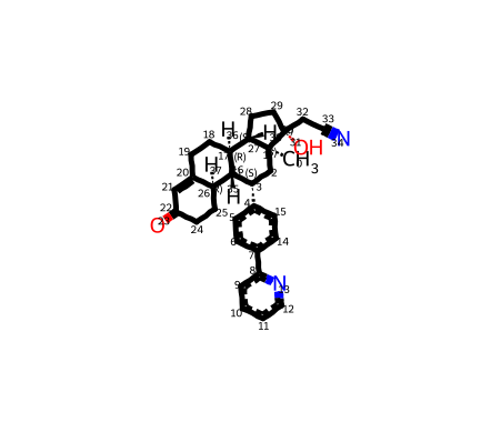 C[C@]12C[C@H](c3ccc(-c4ccccn4)cc3)[C@H]3[C@@H](CCC4=CC(=O)CC[C@@H]43)[C@@H]1CC[C@@]2(O)CC#N